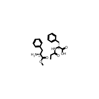 CCC(=O)N[C@H](Cc1ccccc1)C(=O)O.COC(=O)[C@@H](N)Cc1ccccc1